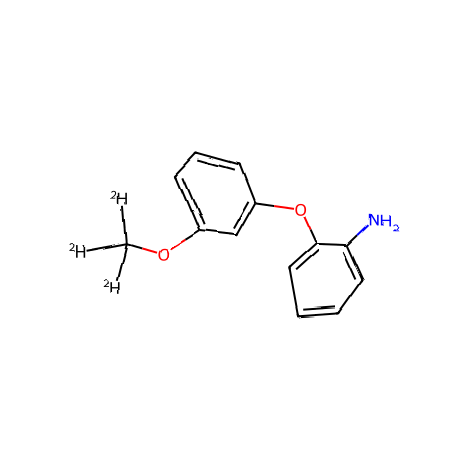 [2H]C([2H])([2H])Oc1cccc(Oc2ccccc2N)c1